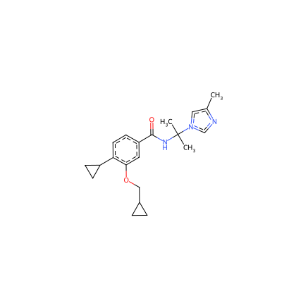 Cc1cn(C(C)(C)NC(=O)c2ccc(C3CC3)c(OCC3CC3)c2)cn1